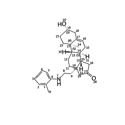 Cc1ccccc1NCC[C@]12CC[C@H]3[C@@H](CC=C4C[C@@H](O)CC[C@@]43C)[C@@H]1CC(=O)C2